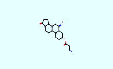 C[C@]12CC[C@H](OC(=O)CCN)CC1/C(=N/O)C[C@@H]1[C@@H]2CC[C@]2(C)C(=O)CC[C@@H]12.Cl